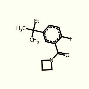 CCC(C)(C)c1ccc(F)c(C(=O)N2CCC2)c1